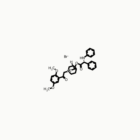 COc1ccc(OC)c(C(=O)C[N+]23CCC(CC2)[C@@H](OC(=O)[C@H](Nc2ccccc2)c2ccccc2)C3)c1.[Br-]